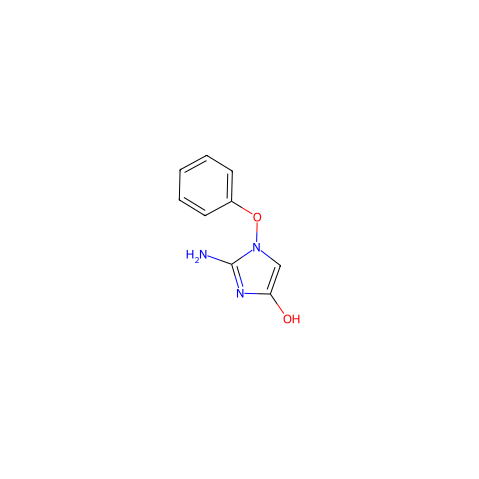 Nc1nc(O)cn1Oc1ccccc1